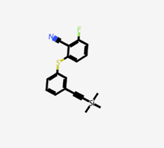 C[Si](C)(C)C#Cc1cccc(Sc2cccc(F)c2C#N)c1